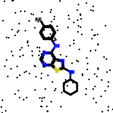 FC(F)(F)c1ccc(Nc2ncnc3sc(NC4CCCCC4)nc23)cc1